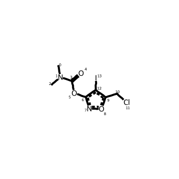 CN(C)C(=O)Oc1noc(CCl)c1I